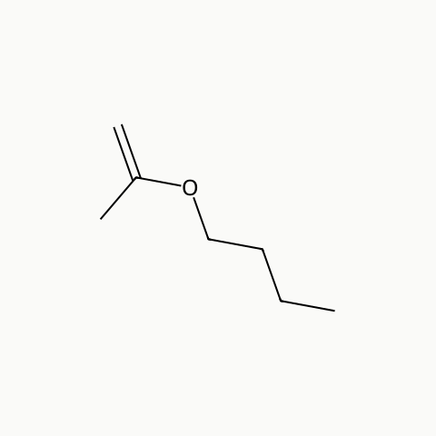 C=C(C)OCCCC